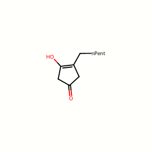 CCCCCCC1=C(O)CC(=O)C1